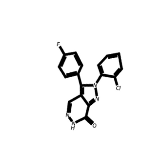 O=c1[nH]ncc2c(-c3ccc(F)cc3)n(-c3ccccc3Cl)nc12